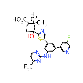 CC1(C)CC(O)(c2ncc(-c3cc(Nc4nccc(C(F)(F)F)n4)cc(-c4cncc(F)c4)c3)s2)CCC1C(=O)O